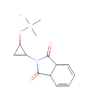 CC(C)(C)[Si](C)(C)OC1CC1N1C(=O)C2C=CC=CC2C1=O